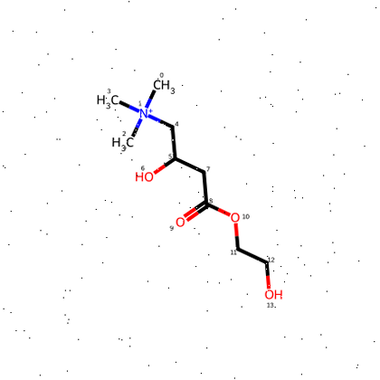 C[N+](C)(C)CC(O)CC(=O)OCCO